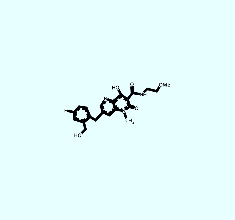 COCCNC(=O)c1c(O)c2ncc(Cc3ccc(F)cc3CO)cc2n(C)c1=O